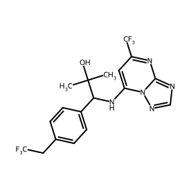 CC(C)(O)C(Nc1cc(C(F)(F)F)nc2ncnn12)c1ccc(CC(F)(F)F)cc1